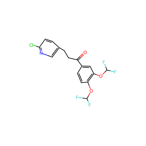 O=C(CCc1ccc(Cl)nc1)c1ccc(OC(F)F)c(OC(F)F)c1